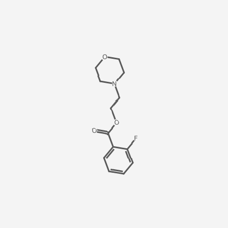 O=C(OCCN1CCOCC1)c1ccccc1F